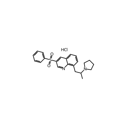 CC(Cc1cccc2cc(S(=O)(=O)c3ccccc3)cnc12)N1CCCC1.Cl